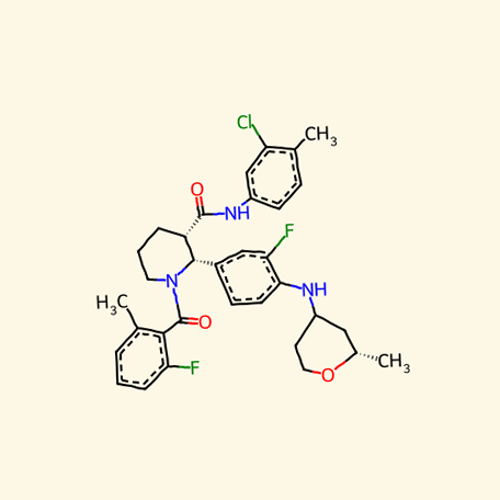 Cc1ccc(NC(=O)[C@H]2CCCN(C(=O)c3c(C)cccc3F)[C@H]2c2ccc(NC3CCO[C@@H](C)C3)c(F)c2)cc1Cl